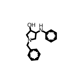 OC1CN(Cc2ccccc2)CC1Nc1ccccc1